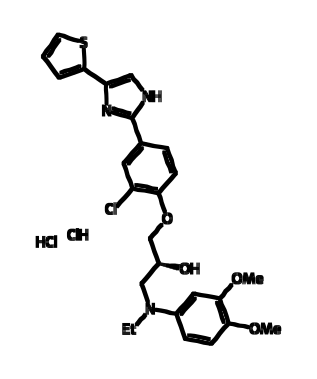 CCN(C[C@H](O)COc1ccc(-c2nc(-c3cccs3)c[nH]2)cc1Cl)c1ccc(OC)c(OC)c1.Cl.Cl